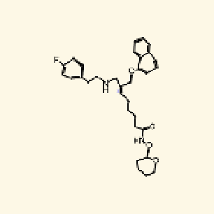 O=C(CCCC/C=C(/CNCCc1ccc(F)cc1)COc1cccc2ccccc12)NOC1CCCCO1